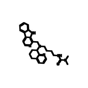 CN(C)C(=O)NCCCCN(Cc1nccc2c1[nH]c1ccccc12)C1CCCc2cccnc21